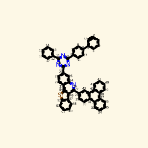 c1cccc(-c2ccc(-c3nc(-c4ccccc4)nc(-c4ccc5c(c4)nc(-c4ccc6c7ccccc7c7ccccc7c6c4)c4c6ccccc6sc54)n3)cc2)c#1